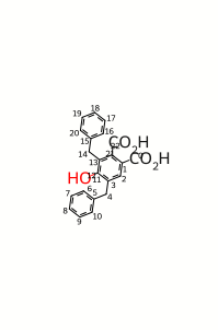 O=C(O)c1cc(Cc2ccccc2)c(O)c(Cc2ccccc2)c1C(=O)O